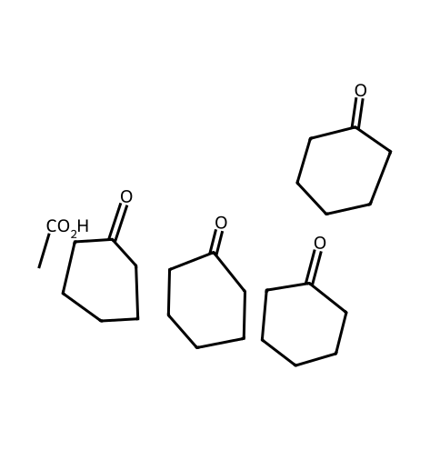 CC(=O)O.O=C1CCCCC1.O=C1CCCCC1.O=C1CCCCC1.O=C1CCCCC1